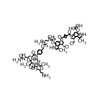 CC(=O)N[C@@H](CCCCN)C(=O)N[C@H](C(=O)N[C@@H](CCCNC(N)=O)C(=O)Nc1ccc(COC(=S)N(C)CCN(C)C(=S)Oc2cc3c(c4c(C)c[nH]c24)[C@H](CCl)CN3C(=O)C23CC(C(=O)N4C[C@@H](CCl)c5c4cc(OP(O)O)c4[nH]cc(C)c54)(C2)C3)cc1)C(C)C